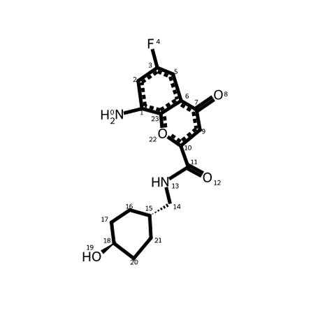 Nc1cc(F)cc2c(=O)cc(C(=O)NC[C@H]3CC[C@H](O)CC3)oc12